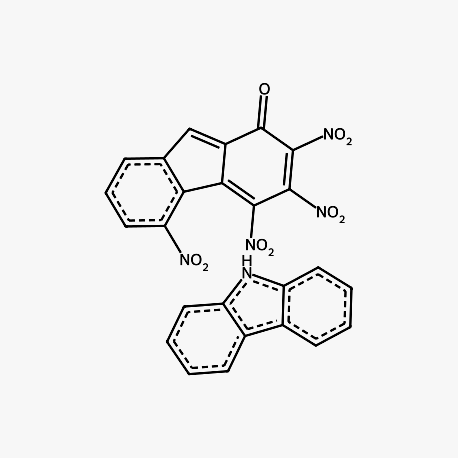 O=C1C2=Cc3cccc([N+](=O)[O-])c3C2=C([N+](=O)[O-])C([N+](=O)[O-])=C1[N+](=O)[O-].c1ccc2c(c1)[nH]c1ccccc12